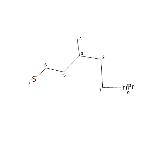 CCCCCC(C)CC[S]